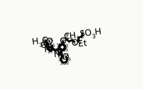 [CH2]C[C@@H](CCS(=O)(=O)O)OCC[C@@H](C)Oc1ccc2c(c1)c(-c1cnn(S(C)(=O)=O)c1)nn2C1CCCCO1